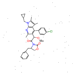 Cc1nc2c(c(C)c(C)n2CC2CC2)c(-c2ccc(Cl)cc2)c1C(OC(C)(C)C)C(=O)N1C(=O)OCC1Cc1ccccc1